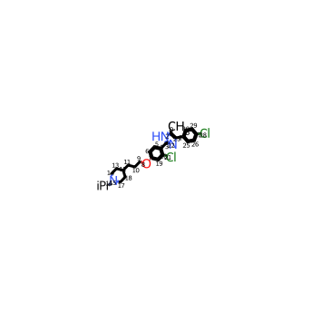 Cc1[nH]c(-c2ccc(OCCCC3CCN(C(C)C)CC3)cc2Cl)nc1-c1ccc(Cl)cc1